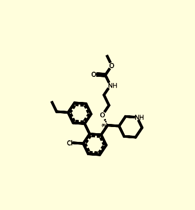 CCc1cccc(-c2c(Cl)cccc2[C@H](OCCNC(=O)OC)C2CCCNC2)c1